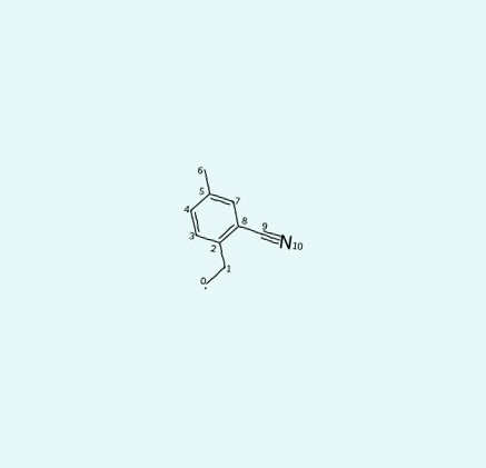 [CH2]Cc1ccc(C)cc1C#N